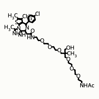 CC(=N)N1C(=N)C(CC(=O)NCCOCCOCCOCC(C)(CO)COCCOCCOCCNC(C)=O)N=C(c2ccc(Cl)cc2)c2c1sc(C)c2C